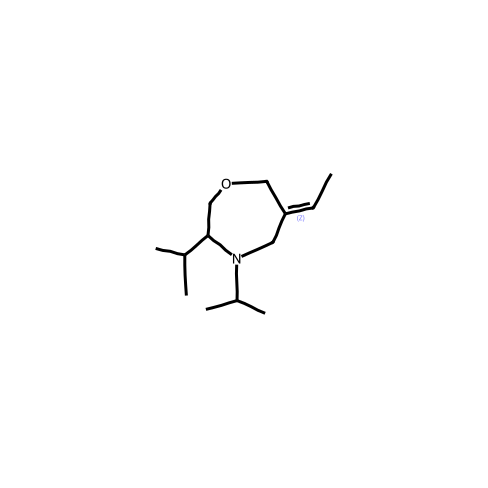 C/C=C1\COCC(C(C)C)N(C(C)C)C1